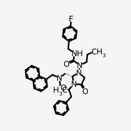 CCCN(C(=O)NCc1ccc(F)cc1)N1CC(=O)N([C@H](C)Cc2ccccc2)[C@@H]1CN(C=O)Cc1cccc2ccccc12